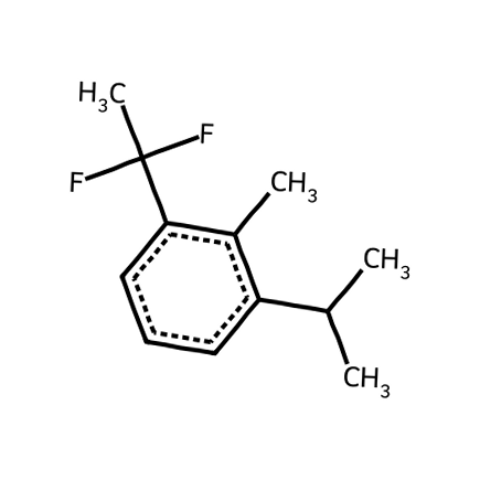 Cc1c(C(C)C)cccc1C(C)(F)F